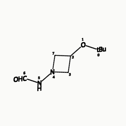 CC(C)(C)OC1CN(NC=O)C1